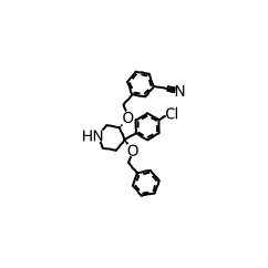 N#Cc1cccc(CO[C@H]2CNCC[C@@]2(OCc2ccccc2)c2ccc(Cl)cc2)c1